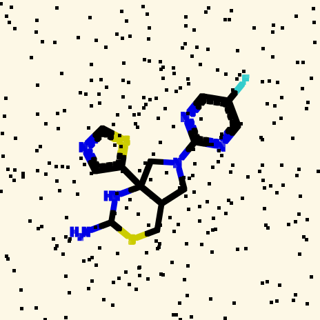 NC1NC2(c3cncs3)CN(c3ncc(F)cn3)CC2CS1